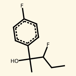 CCC(F)C(C)(O)c1ccc(F)cc1